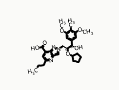 CCCc1cc(C(=O)O)c2nn(C[C@H](OC3CCCC3)[C@H](O)c3cc(OC)c(C)c(OC)c3)cc2n1